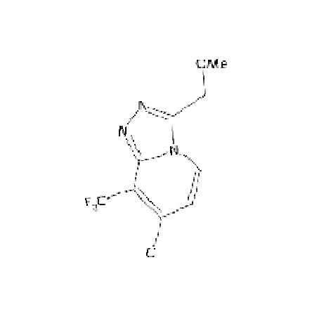 COCc1nnc2c(C(F)(F)F)c(Cl)ccn12